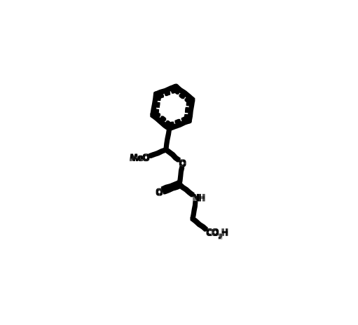 COC(OC(=O)NCC(=O)O)c1ccccc1